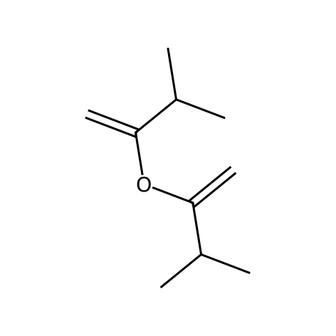 C=C(OC(=C)C(C)C)C(C)C